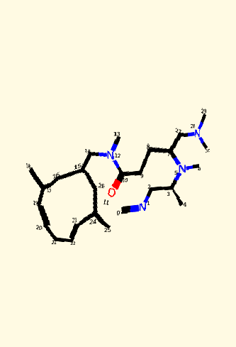 C=NC[C@H](C)N(C)C(CCC(=O)N(C)CC1CC(=C)/C=C\C/C=C/C(C)C1)CN(C)C